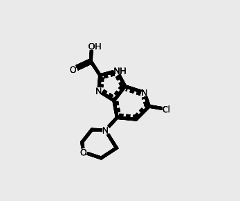 O=C(O)c1nc2c(N3CCOCC3)cc(Cl)nc2[nH]1